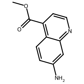 COC(=O)c1ccnc2cc(N)ccc12